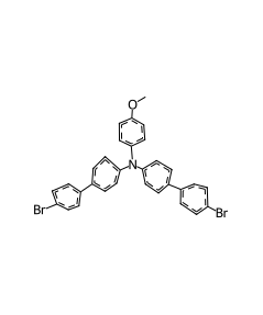 COc1ccc(N(c2ccc(-c3ccc(Br)cc3)cc2)c2ccc(-c3ccc(Br)cc3)cc2)cc1